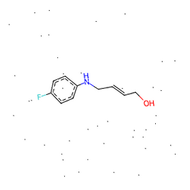 OCC=CCNc1ccc(F)cc1